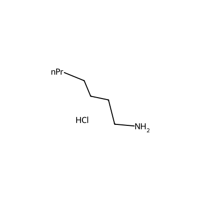 CCCCCCCN.Cl